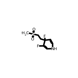 [CH2]S(=O)(=O)CCC1(F)C=CNC=C1F